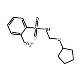 O=C(O)c1ccccc1S(=O)(=O)NCOC1CCCC1